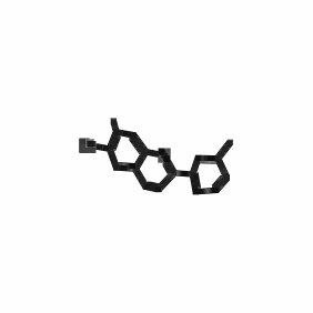 CCc1cc2ccc(-c3cccc(C)c3)nc2cc1C